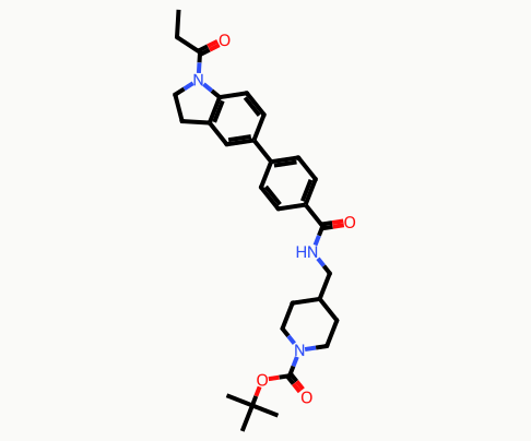 CCC(=O)N1CCc2cc(-c3ccc(C(=O)NCC4CCN(C(=O)OC(C)(C)C)CC4)cc3)ccc21